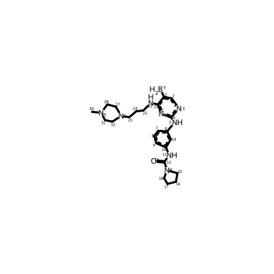 Bc1cnc(Nc2cccc(NC(=O)N3CCCC3)c2)nc1NCCCN1CCN(C)CC1